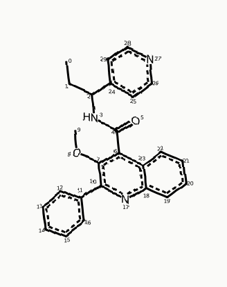 CCC(NC(=O)c1c(OC)c(-c2ccccc2)nc2ccccc12)c1ccncc1